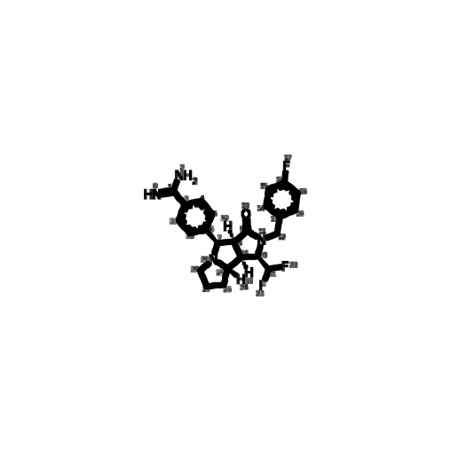 N=C(N)c1ccc([C@H]2[C@H]3C(=O)N(Cc4ccc(F)cc4)[C@@H](C(F)F)[C@H]3[C@@H]3CCCN32)cc1